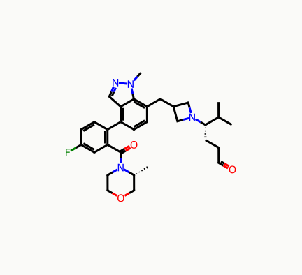 CC(C)[C@H](CCC=O)N1CC(Cc2ccc(-c3ccc(F)cc3C(=O)N3CCOC[C@H]3C)c3cnn(C)c23)C1